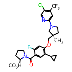 C[C@@]1(COc2cc(F)c(C(=O)N3CCCC3C(=O)O)cc2C2CC2)CCN(c2cc(C(F)(F)F)c(Cl)cn2)C1